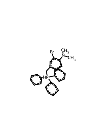 CN(C)c1ccc(C[PH](c2ccccc2)(c2ccccc2)c2ccccc2)cc1Br